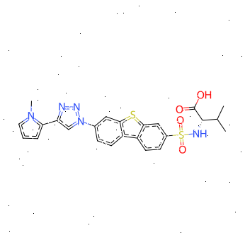 CC(C)[C@H](NS(=O)(=O)c1ccc2c(c1)sc1cc(-n3cc(-c4cccn4C)nn3)ccc12)C(=O)O